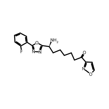 N[C@@H](CCCCCC(=O)c1ccon1)c1nnc(-c2ccccc2F)o1